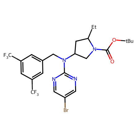 CCC1CC(N(Cc2cc(C(F)(F)F)cc(C(F)(F)F)c2)c2ncc(Br)cn2)CN1C(=O)OC(C)(C)C